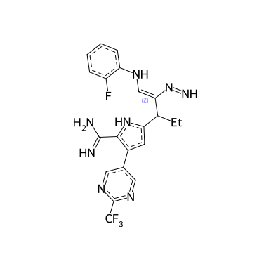 CCC(/C(=C/Nc1ccccc1F)N=N)c1cc(-c2cnc(C(F)(F)F)nc2)c(C(=N)N)[nH]1